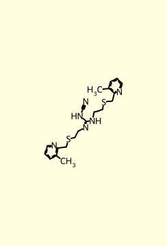 Cc1cccnc1CSCC/N=C(\NC#N)NCCSCc1ncccc1C